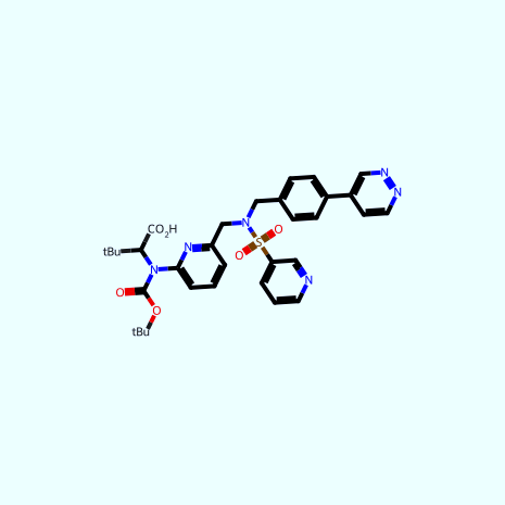 CC(C)(C)OC(=O)N(c1cccc(CN(Cc2ccc(-c3ccnnc3)cc2)S(=O)(=O)c2cccnc2)n1)C(C(=O)O)C(C)(C)C